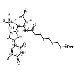 CCCCCCCCCCCCCCCCCC(=O)NC(C(C)OCC)C(OP(=O)(O)O)[C@@H]1CC[C@H](n2cc(C)c(=O)[nH]c2=O)O1